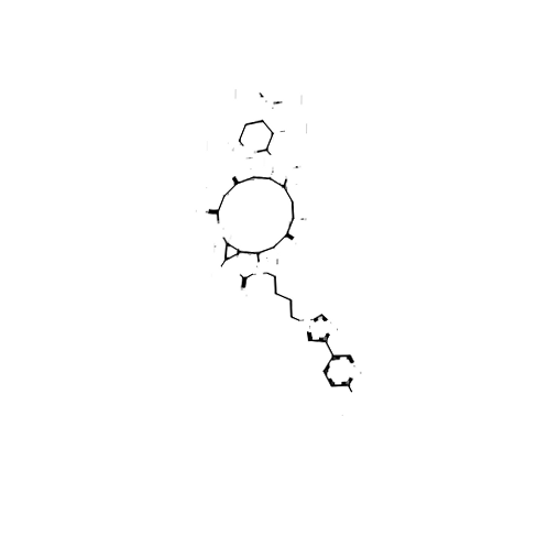 COc1ccc(-c2cn(CCCCN3C(=O)O[C@]45C(C)[C@H]4OC(=O)[C@H](C)C(=O)[C@H](C)[C@@H](OC4O[C@H](C)C[C@H](N(C)C)[C@H]4O)[C@@](C)(OC)C[C@@H](C)C(=O)[C@H](C)[C@@H]35)cn2)cn1